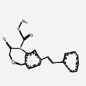 CC(C)(C)OC(=O)N1C(=O)COc2ccc(C=Cc3ccccc3)cc21